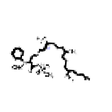 C/C(=C\CSCC(C(=O)NS(C)(=O)=O)N(C=O)c1ccccc1)CCCC(C)CCCC(C)CCCC(C)C